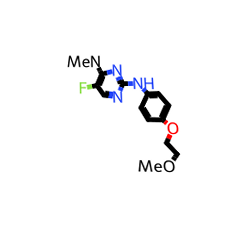 CNc1nc(Nc2ccc(OCCOC)cc2)ncc1F